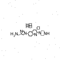 Cl.Cl.NCc1cn(-c2ccc3nc(N4CCNCC4)c(Cl)cc3c2)cn1